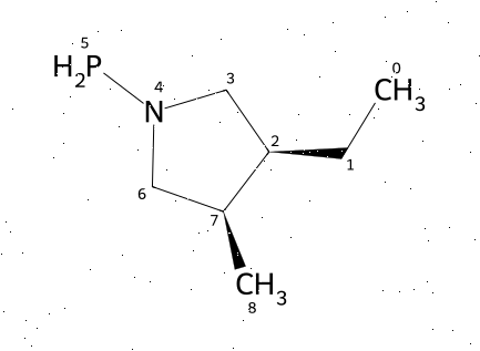 CC[C@@H]1CN(P)C[C@@H]1C